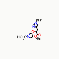 CCCn1cnc(CC(O[C@H]2CCN(C(=O)O)C2)C(=O)OC(C)(C)C)c1